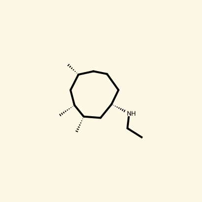 CCN[C@H]1CCC[C@@H](C)C[C@@H](C)[C@@H](C)C1